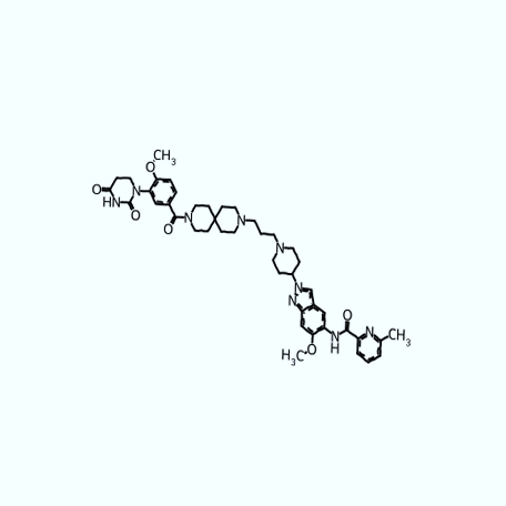 COc1cc2nn(C3CCN(CCCN4CCC5(CC4)CCN(C(=O)c4ccc(OC)c(N6CCC(=O)NC6=O)c4)CC5)CC3)cc2cc1NC(=O)c1cccc(C)n1